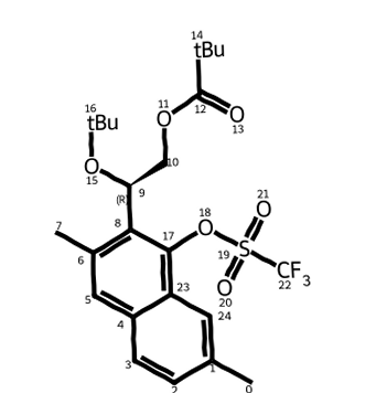 Cc1ccc2cc(C)c([C@H](COC(=O)C(C)(C)C)OC(C)(C)C)c(OS(=O)(=O)C(F)(F)F)c2c1